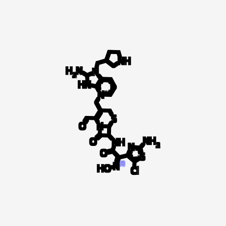 Nc1nc(/C(=N/O)C(=O)NC2C(=O)N3C(C=O)=C(C[n+]4cccc5c4NC(N)N5CC4CCNC4)CSC23)c(Cl)s1